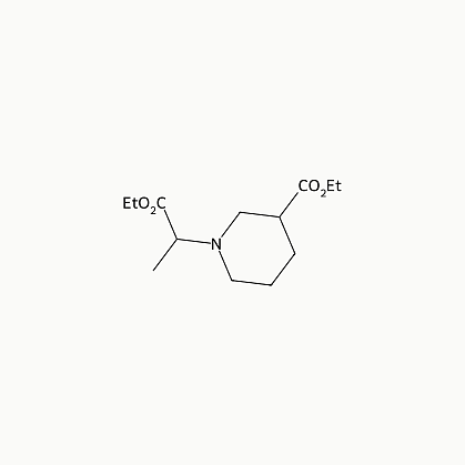 CCOC(=O)C1CCCN(C(C)C(=O)OCC)C1